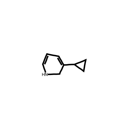 [CH]1NC=CC=C1C1CC1